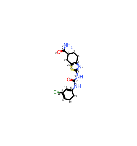 NC(=O)C1CCc2nc(NC(=O)NC3=CC(Cl)=CCC3)sc2C1